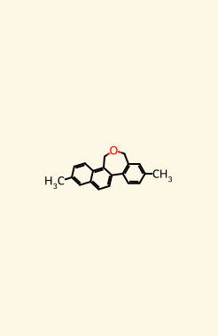 Cc1ccc2c(c1)COCc1c-2ccc2cc(C)ccc12